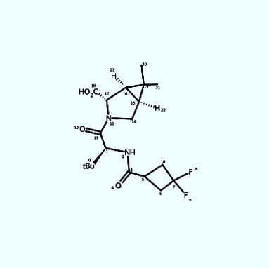 CC(C)(C)[C@H](NC(=O)C1CC(F)(F)C1)C(=O)N1C[C@H]2[C@@H]([C@H]1C(=O)O)C2(C)C